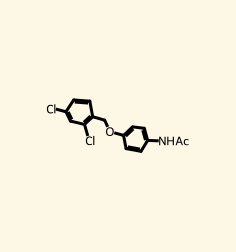 CC(=O)Nc1ccc(OCc2ccc(Cl)cc2Cl)cc1